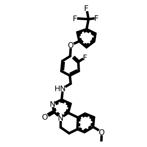 C=C(F)/C=C(\C=C/COc1cccc(C(F)(F)F)c1)CNc1cc2n(c(=O)n1)CCc1cc(OC)ccc1-2